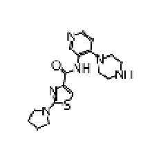 O=C(Nc1cnccc1N1CCNCC1)c1csc(N2CCCC2)n1